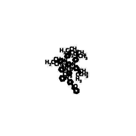 Cc1cccc(C)c1N1c2cc(N(c3ccccc3)c3ccc(-c4cc5ccccc5o4)cc3)ccc2B2c3cc(C(C)(C)C)ccc3N(c3ccc(C(C)(C)C)cc3)c3cc(N(c4ccc(C(C)(C)C)cc4)c4ccc(C(C)(C)C)cc4)cc1c32